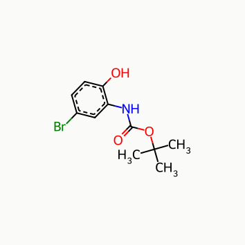 CC(C)(C)OC(=O)Nc1cc(Br)ccc1O